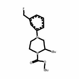 CC(C)(C)OC(=O)N1CCN(c2cccc(CF)c2)CC1C(C)(C)C